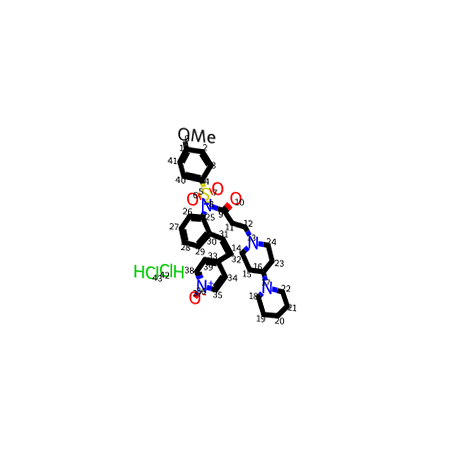 COc1ccc(S(=O)(=O)N(C(=O)CCN2CCC(N3CCCCC3)CC2)c2ccccc2C=Cc2cc[n+]([O-])cc2)cc1.Cl.Cl